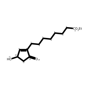 CCOC(=O)CCCCCCCC1=CC(O)CC1=O